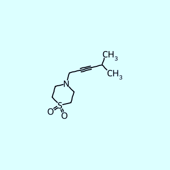 CC(C)C#CCN1CCS(=O)(=O)CC1